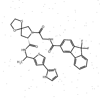 CC(NC(=O)[C@@H]1CC2(CN1C(=O)CNC(=O)c1ccc3c(c1)-c1ccccc1C3(F)F)OCCO2)c1cc(-c2ncc[nH]2)cs1